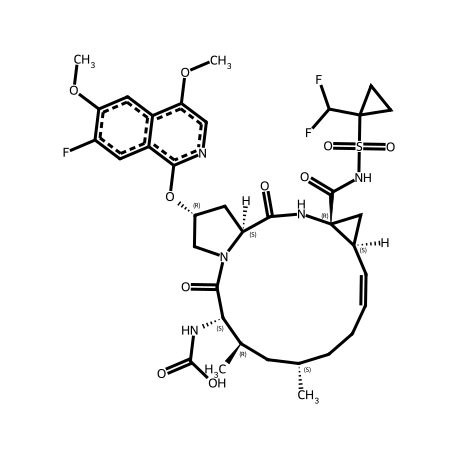 COc1cc2c(OC)cnc(O[C@@H]3C[C@H]4C(=O)N[C@]5(C(=O)NS(=O)(=O)C6(C(F)F)CC6)C[C@H]5C=CCC[C@H](C)C[C@@H](C)[C@H](NC(=O)O)C(=O)N4C3)c2cc1F